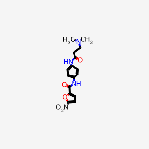 CN(C)CCC(=O)Nc1ccc(NC(=O)c2ccc([N+](=O)[O-])o2)cc1